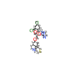 CN1CCc2cc(OCC3COC(Cn4ccnc4)(c4ccc(Cl)cc4Cl)O3)ccc2C12CCSCC2